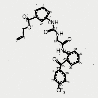 C=CCOC(=O)c1cccc(NC(=O)NCC(=O)Nc2ccccc2C(=O)c2ccc(C(F)(F)F)cc2)c1